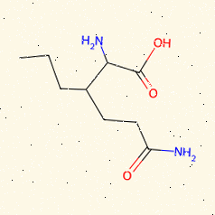 CCCC(CCC(N)=O)C(N)C(=O)O